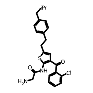 CC(C)Cc1ccc(CCc2cc(C(=O)c3ccccc3Cl)c(NC(=O)CN)s2)cc1